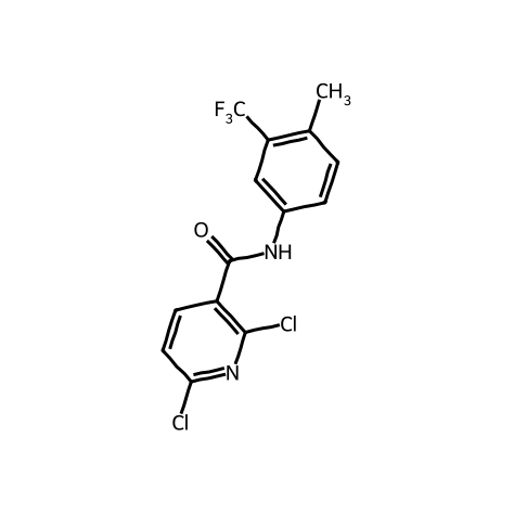 Cc1ccc(NC(=O)c2ccc(Cl)nc2Cl)cc1C(F)(F)F